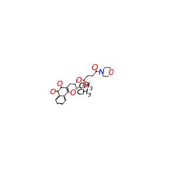 CC1(C)OC2=C(CC1OC(=O)CCC(=O)N1CCOCC1)C(=O)C(=O)c1ccccc12